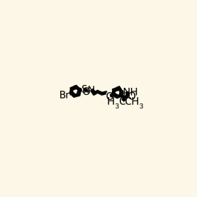 CC1(C)C(=O)Nc2ccc(OCCCC=NOSc3ccc(Br)cc3)cc21